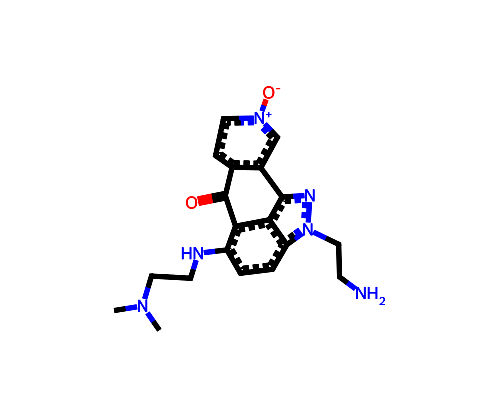 CN(C)CCNc1ccc2c3c(nn2CCN)-c2c[n+]([O-])ccc2C(=O)c13